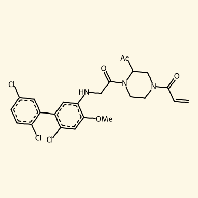 C=CC(=O)N1CCN(C(=O)CNc2cc(-c3cc(Cl)ccc3Cl)c(Cl)cc2OC)C(C(C)=O)C1